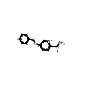 C[C@@H](N)c1ccc(OCc2ccccc2)cn1